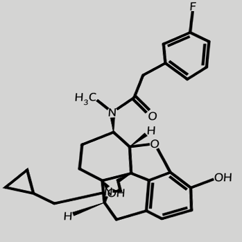 CN(C(=O)Cc1cccc(F)c1)[C@@H]1CC[C@@]2(O)[C@H]3Cc4ccc(O)c5c4[C@@]2(CCN3CC2CC2)[C@H]1O5